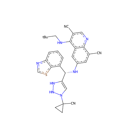 CC(C)(C)CNc1c(C#N)cnc2c(C#N)cc(N[C@H](C3=CN(C4(C#N)CC4)NN3)c3cccc4ncsc34)cc12